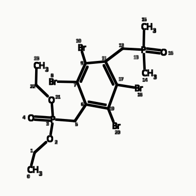 CCOP(=O)(Cc1c(Br)c(Br)c(CP(C)(C)=O)c(Br)c1Br)OCC